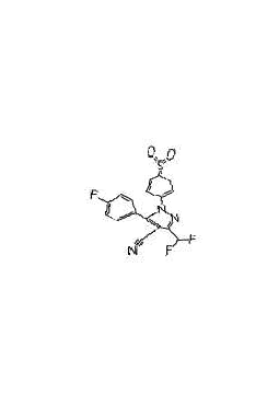 N#Cc1c(C(F)F)nn(C2=CCC(=S(=O)=O)C=C2)c1-c1ccc(F)cc1